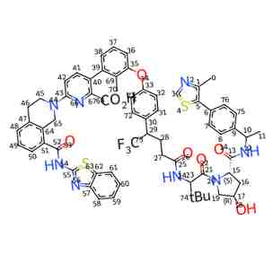 Cc1ncsc1-c1ccc(C(C)NC(=O)[C@@H]2C[C@@H](O)CN2C(=O)C(NC(=O)CCC(c2ccc(Oc3cccc(-c4ccc(N5CCc6cccc(C(=O)Nc7nc8ccccc8s7)c6C5)nc4C(=O)O)c3C)cc2)C(F)(F)F)C(C)(C)C)cc1